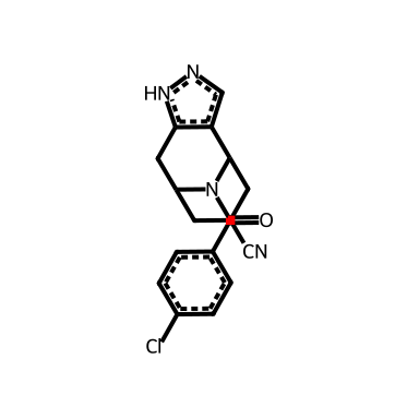 N#CC1CC2Cc3[nH]ncc3C(C1)N2C(=O)c1ccc(Cl)cc1